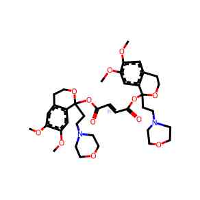 COc1cc2c(cc1OC)C(CCN1CCOCC1)(OC(=O)/C=C/C(=O)OC1(CCN3CCOCC3)OCCc3cc(OC)c(OC)cc31)OCC2